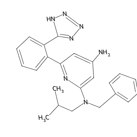 CC(C)CN(Cc1ccccc1)c1cc(N)cc(-c2ccccc2-c2nnn[nH]2)n1